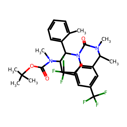 Cc1ccccc1C1C(N(C)C(=O)OC(C)(C)C)CCCN1C(=O)N(C)C(C)c1cc(C(F)(F)F)cc(C(F)(F)F)c1